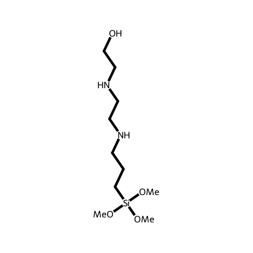 CO[Si](CCCNCCNCCO)(OC)OC